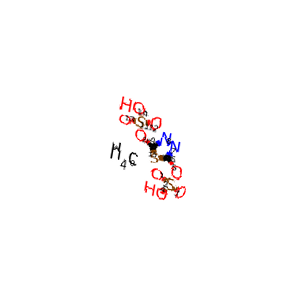 C.O=S(=O)(O)Oc1nnc(OS(=O)(=O)O)s1